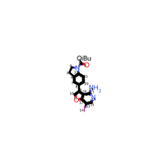 CC(C)COC(=O)N1CCc2cc(-c3coc4c(I)cnc(N)c34)ccc21